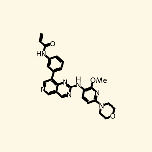 C=CC(=O)Nc1cccc(-c2cncc3cnc(Nc4ccc(N5CCOCC5)nc4OC)nc23)c1